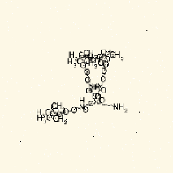 CCC1O[C@@H](OCCOCCOCCNC(=O)CCOCC(COCCC(=O)NCCOCCOCCO[C@H]2OC(CC)[C@@H](C)[C@H](C)C2C)(COCCC(=O)NCCOCCOCCO[C@H]2OC(CC)[C@@H](C)[C@H](C)C2C)CC(=O)CCCCCN)C(C)[C@@H](C)[C@@H]1C